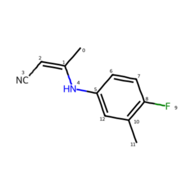 C/C(=C/C#N)Nc1ccc(F)c(C)c1